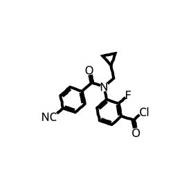 N#Cc1ccc(C(=O)N(CC2CC2)c2cccc(C(=O)Cl)c2F)cc1